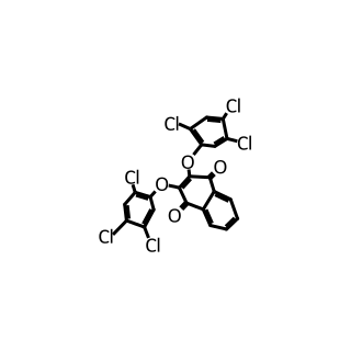 O=C1C(Oc2cc(Cl)c(Cl)cc2Cl)=C(Oc2cc(Cl)c(Cl)cc2Cl)C(=O)c2ccccc21